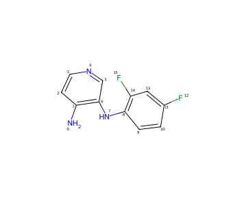 Nc1ccncc1Nc1ccc(F)cc1F